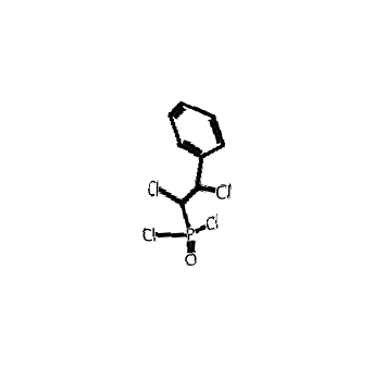 O=P(Cl)(Cl)C(Cl)C(Cl)c1ccccc1